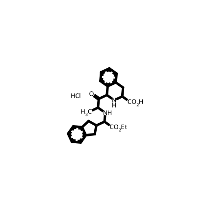 CCOC(=O)C(NC(C)C(=O)C1NC(C(=O)O)Cc2ccccc21)C1Cc2ccccc2C1.Cl